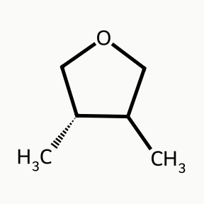 CC1COC[C@H]1C